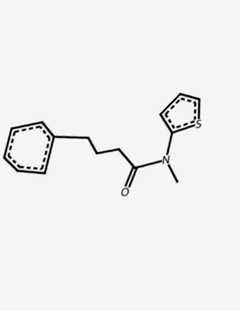 CN(C(=O)CCCc1ccccc1)c1cccs1